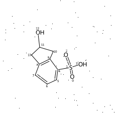 O=S(=O)(O)c1cccc2c1CC(O)C2